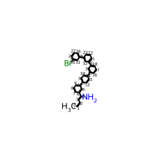 C/C=C\C=C(/N)c1cccc(-c2ccc(-c3cccc(-c4cccc(-c5cccc(Br)c5)c4)c3)cc2)c1